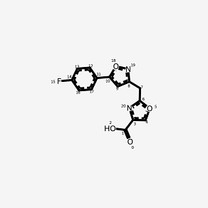 O=C(O)c1coc(Cc2cc(-c3ccc(F)cc3)on2)n1